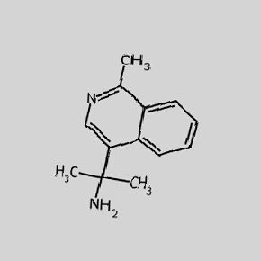 Cc1ncc(C(C)(C)N)c2ccccc12